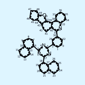 c1cc(-c2nc(-c3cccc4ccccc34)nc(-c3cccc4ccccc34)n2)cc(-c2nc3ccccc3c3c2ccc2c4ccccc4oc23)c1